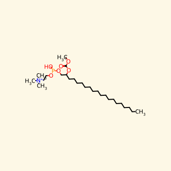 CCCCCCCCCCCCCCCCCCC(COP(O)OCC[N+](C)(C)C)OC(=O)OC